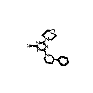 N#Cc1nc(N2CCOCC2)nc(N2CCCC(c3ccccc3)C2)n1